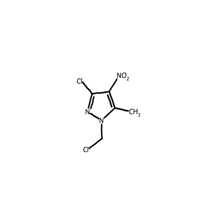 Cc1c([N+](=O)[O-])c(Cl)nn1CCl